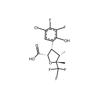 C[C@H]1[C@@H](c2cc(Cl)c(F)c(F)c2O)[C@@H](C(=O)O)O[C@@]1(C)C(F)(F)F